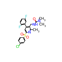 Cc1nc(S(=O)(=O)c2ccc(Cl)cc2)cc(-c2cc(F)ccc2F)c1CNC(=O)N(C)C